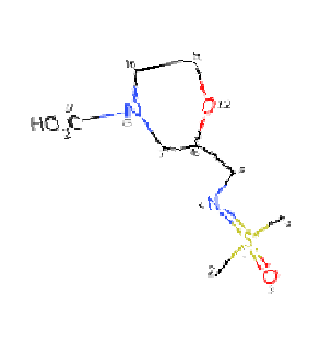 CS(C)(=O)=NCC1CN(C(=O)O)CCO1